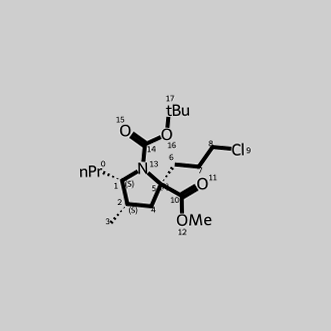 CCC[C@H]1[C@@H](C)C[C@](CCCCl)(C(=O)OC)N1C(=O)OC(C)(C)C